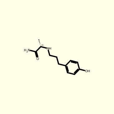 C[C@H](NCCCc1ccc(O)cc1)C(N)=O